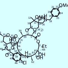 CC[C@H]1OC(=O)[C@H](C)[C@@H](O[C@H]2C[C@@](C)(OC)[C@](O)(CNCc3ccc(OC)cc3)[C@H](C)O2)[C@H](C)[C@@H](O[C@@H]2O[C@H](C)C[C@H](N(C)S(=O)(=O)c3ccc(Cl)cc3)[C@H]2O)[C@](C)(O)C[C@@H](C)CN[C@H](C)[C@@H](O)[C@]1(C)O